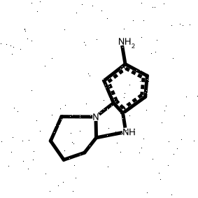 Nc1ccc2c(c1)N1CCCCC1N2